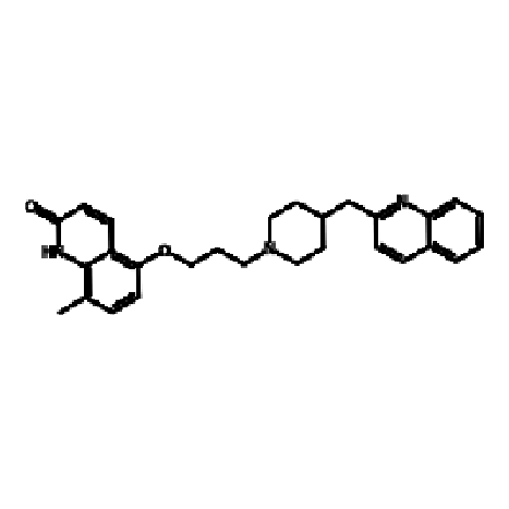 Cc1ccc(OCCCN2CCC(Cc3ccc4ccccc4n3)CC2)c2ccc(=O)[nH]c12